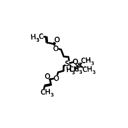 CC=CC(=O)OCCC[Si](C)(CCCOC(=O)C=CC)O[Si](C)(C)C